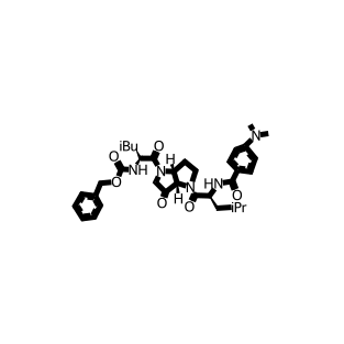 CC[C@H](C)[C@H](NC(=O)OCc1ccccc1)C(=O)N1CC(=O)[C@@H]2[C@H]1CCN2C(=O)[C@H](CC(C)C)NC(=O)c1ccc(N(C)C)cc1